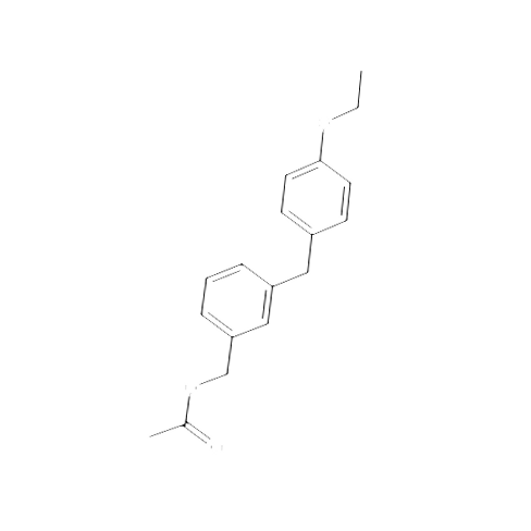 CCOc1ccc(Cc2[c]ccc(COC(C)=O)c2)cc1